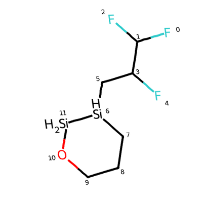 FC(F)C(F)C[SiH]1CCCO[SiH2]1